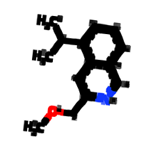 COCc1cc2c(C(C)C)cccc2cn1